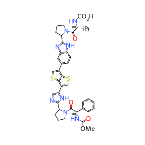 COC(=O)N[C@@H](C(=O)N1CCCC1c1ncc(-c2csc3c(-c4ccc5[nH]c(C6CCCN6C(=O)[C@H](NC(=O)O)C(C)C)nc5c4)csc23)[nH]1)c1ccccc1